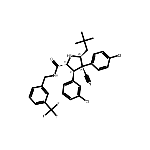 CC(C)(C)C[C@@H]1N[C@@H](C(=O)NCc2cccc(C(F)(F)F)c2)[C@H](c2cccc(Cl)c2)[C@@]1(C#N)c1ccc(Cl)cc1